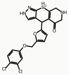 O=C1CNCC2=C1C(c1ccc(COc3ccc(Cl)c(Cl)c3)o1)c1c[nH]nc1[SiH2]2